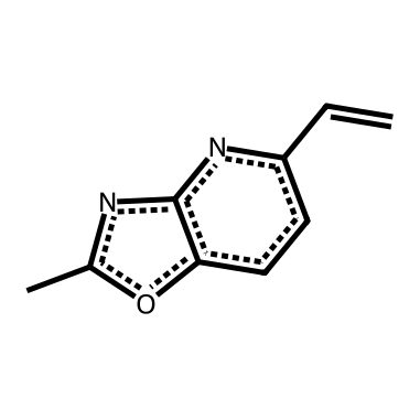 C=Cc1ccc2oc(C)nc2n1